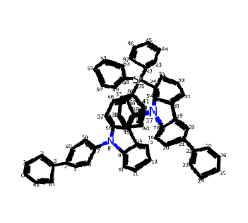 c1ccc(-c2ccc(-n3c4ccccc4c4c(-n5c6ccc(-c7ccccc7)cc6c6cccc([Si](c7ccccc7)(c7ccccc7)c7ccccc7)c65)cccc43)cc2)cc1